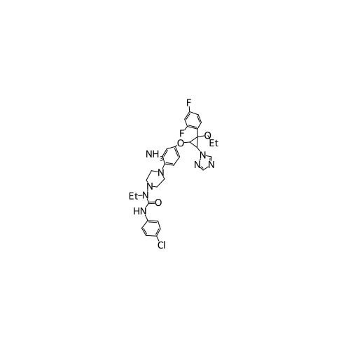 CCOC1(c2ccc(F)cc2F)C(Oc2ccc(N3CCN(N(CC)C(=O)Nc4ccc(Cl)cc4)CC3)cc2)C1n1cncn1.N